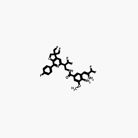 COc1cc(C(=O)NCC(c2cc3c(c(-c4ccc(F)cc4)n2)OCC3(CF)CF)C(F)F)cc(/C=C(\N)C(F)F)c1N